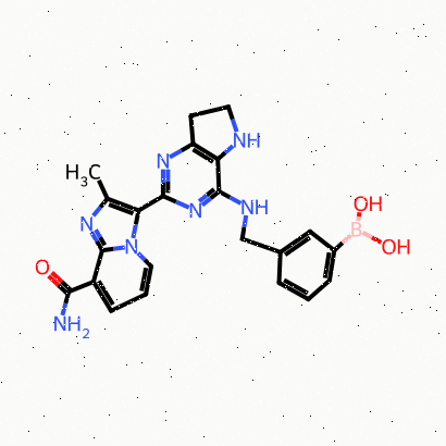 Cc1nc2c(C(N)=O)cccn2c1-c1nc2c(c(NCc3cccc(B(O)O)c3)n1)NCC2